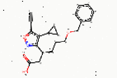 C#Cc1onc([C@@H](CCCOCc2ccccc2)CC(=O)O)c1C1CC1